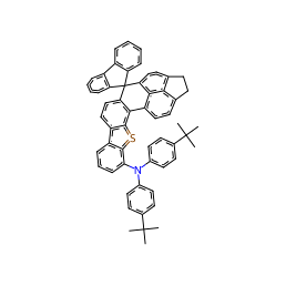 CC(C)(C)c1ccc(N(c2ccc(C(C)(C)C)cc2)c2cccc3c2sc2c4c(ccc23)C2(c3ccccc3-c3ccccc32)c2ccc3c5c(ccc-4c25)CC3)cc1